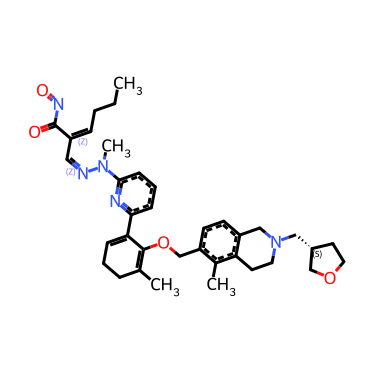 CCC/C=C(/C=N\N(C)c1cccc(C2=CCCC(C)=C2OCc2ccc3c(c2C)CCN(C[C@@H]2CCOC2)C3)n1)C(=O)N=O